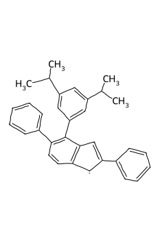 CC(C)c1cc(-c2c(-c3ccccc3)ccc3c2C=C(c2ccccc2)[CH]3)cc(C(C)C)c1